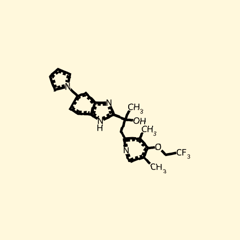 Cc1cnc(CC(C)(O)c2nc3cc(-n4cccc4)ccc3[nH]2)c(C)c1OCC(F)(F)F